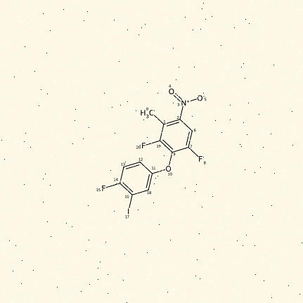 Cc1c([N+](=O)[O-])cc(F)c(Oc2ccc(F)c(I)c2)c1F